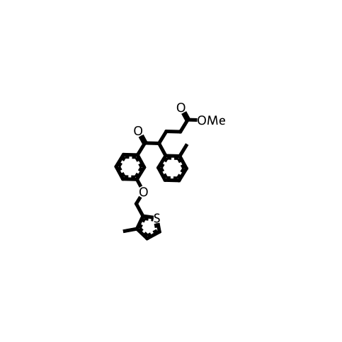 COC(=O)CCC(C(=O)c1cccc(OCc2sccc2C)c1)c1ccccc1C